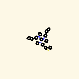 c1ccc(N(c2ccc(-c3ccc4ccccc4c3)cc2)c2cc(N(c3ccccc3)c3ccc(-c4ccc5ccccc5c4)cc3)cc(N(c3ccccc3)c3ccc(-c4ccc5sc6ccccc6c5c4)cc3)c2)cc1